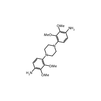 COc1c(N)ccc(N2CCN(c3ccc(N)c(OC)c3OC)CC2)c1OC